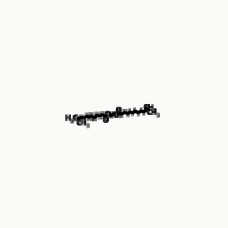 CC(C)CCCCCCCCCC(=O)OCCOC(=O)CCCCCCCCCC(C)C